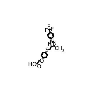 Cc1nn(-c2ccc(C(F)(F)F)cc2)nc1CSc1ccc(OCC(=O)O)cc1